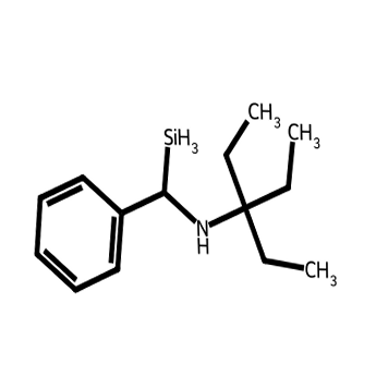 CCC(CC)(CC)NC([SiH3])c1ccccc1